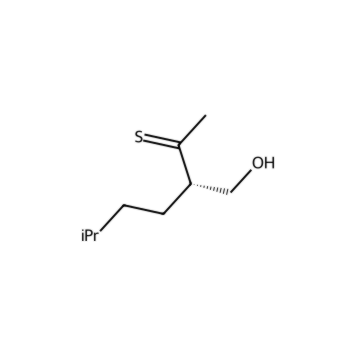 CC(=S)[C@H](CO)CCC(C)C